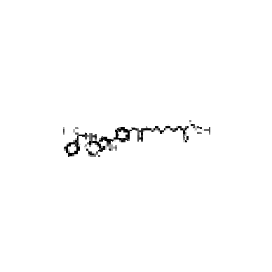 C[C@@H](Nc1ncnc2[nH]c(-c3ccc(CNCCCCCCCC(=O)NO)cc3)cc12)c1ccccc1